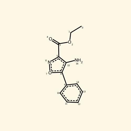 CCOC(=O)c1noc(-c2ccccc2)c1N